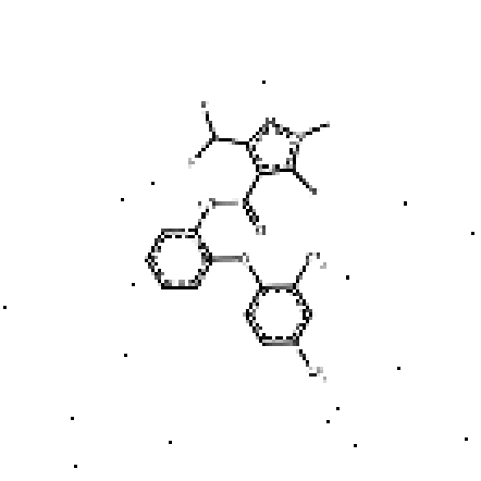 Cn1nc(C(F)F)c(C(=O)Nc2ccccc2Oc2ccc(C(F)(F)F)cc2C(F)(F)F)c1F